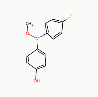 CON(c1ccc(O)cc1)c1ccc(F)cc1